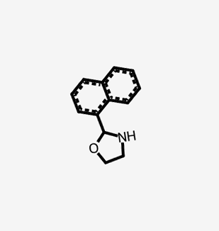 c1ccc2c(C3NCCO3)cccc2c1